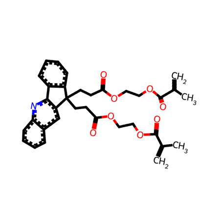 C=C(C)C(=O)OCCOC(=O)CCC1(CCC(=O)OCCOC(=O)C(=C)C)c2ccccc2-c2nc3ccccc3cc21